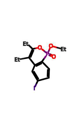 CCOP1(=O)OC(CC)=C(CC)c2cc(I)ccc21